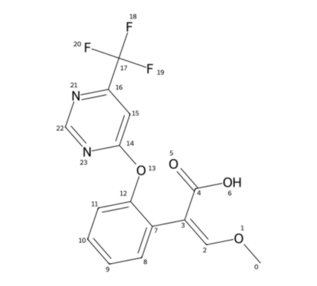 COC=C(C(=O)O)c1ccccc1Oc1cc(C(F)(F)F)ncn1